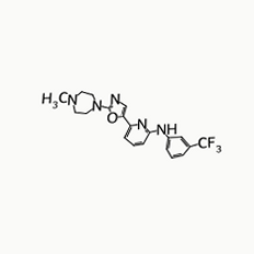 CN1CCN(c2ncc(-c3cccc(Nc4cccc(C(F)(F)F)c4)n3)o2)CC1